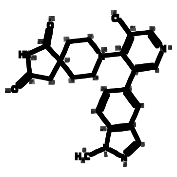 Cn1ncc2cc(-c3cncc(Cl)c3N3CCC4(CC3)CC(=O)NC4=O)ccc21